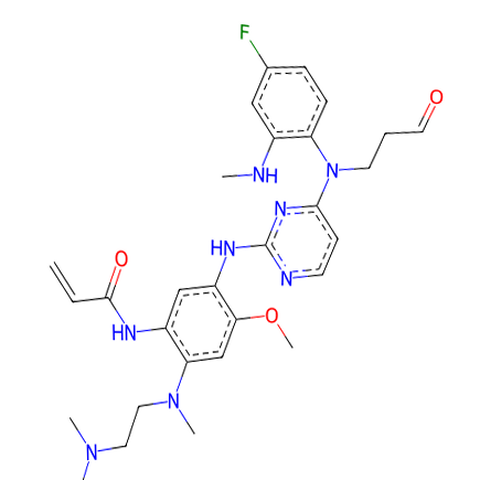 C=CC(=O)Nc1cc(Nc2nccc(N(CCC=O)c3ccc(F)cc3NC)n2)c(OC)cc1N(C)CCN(C)C